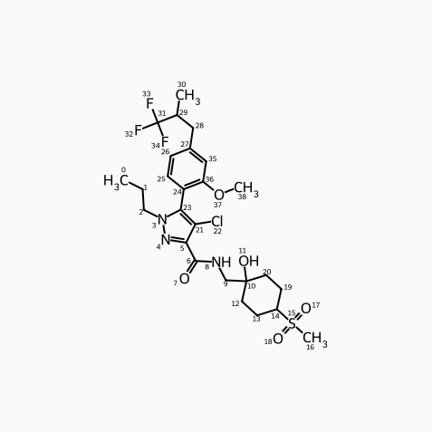 CCCn1nc(C(=O)NCC2(O)CCC(S(C)(=O)=O)CC2)c(Cl)c1-c1ccc(CC(C)C(F)(F)F)cc1OC